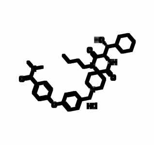 CCCCN1C(=O)[C@@H]([C@H](O)C2CCCCC2)NC(=O)C12CCN(Cc1ccc(Oc3ccc(C(=O)N(C)C)cc3)cc1)CC2.Cl